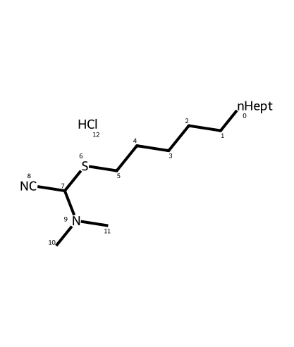 CCCCCCCCCCCCSC(C#N)N(C)C.Cl